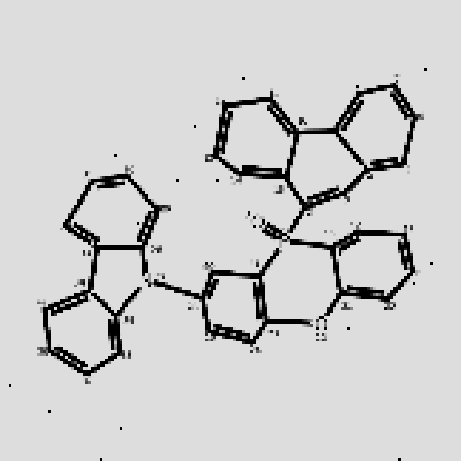 O=P1(c2cc3ccccc3c3ccccc23)c2ccccc2Oc2ccc(-n3c4ccccc4c4ccccc43)cc21